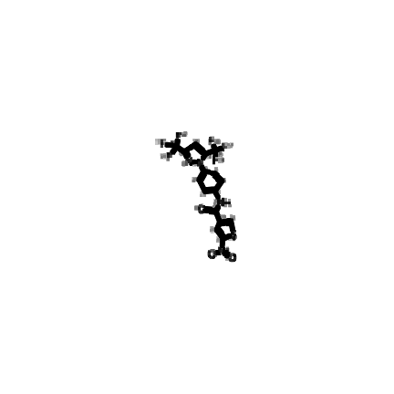 O=C(Nc1ccc(-n2nc(C(F)(F)F)cc2C(F)(F)F)cc1)c1csc([N+](=O)[O-])c1